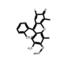 COOc1c(C)cc2c(-c3ccccc3C(=O)O)c3cc(I)c(=O)c(I)c-3oc2c1I